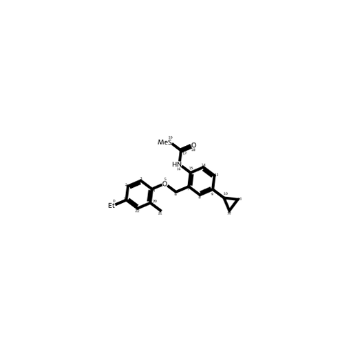 CCc1ccc(OCc2cc(C3CC3)ccc2NC(=O)SC)c(C)c1